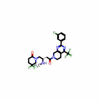 CN[C@@H](CC(=O)N1CCc2c(nc(-c3cccc(F)c3)nc2C(F)(F)F)C1)CN1CC(F)(F)CCC1=O